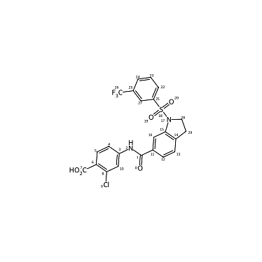 O=C(Nc1ccc(C(=O)O)c(Cl)c1)c1ccc2c(c1)N(S(=O)(=O)c1cccc(C(F)(F)F)c1)CC2